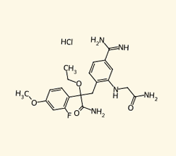 CCOC(Cc1ccc(C(=N)N)cc1NCC(N)=O)(C(N)=O)c1ccc(OC)cc1F.Cl